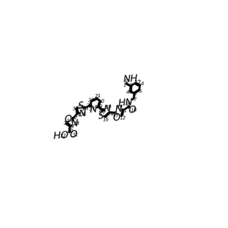 NCc1cccc(CNC(=O)c2coc(-c3csc(-c4cccc(-c5nc(-c6nc(C(=O)O)co6)cs5)n4)n3)n2)c1